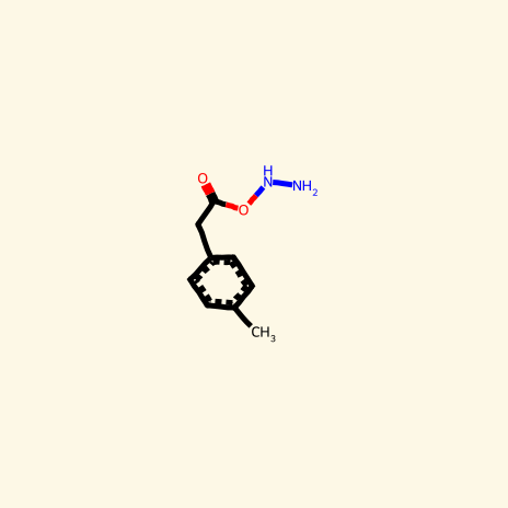 Cc1ccc(CC(=O)ONN)cc1